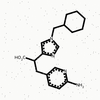 Nc1ccc(CC(C(=O)O)c2cn(CC3CCCCC3)cn2)cn1